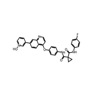 O=C(Nc1ccc(F)cc1)C1(C(=O)Nc2ccc(Oc3ccnc4cc(-c5ccc[n+](O)c5)ccc34)cc2)CC1